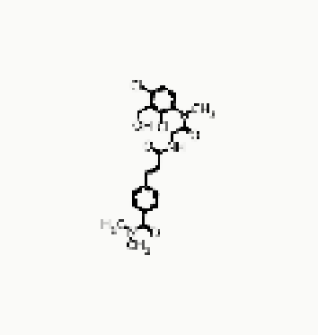 CN(C)C(=O)c1ccc(C=CC(=O)NCC(=O)N(C)c2ccc(Cl)c(CO)c2Cl)cc1